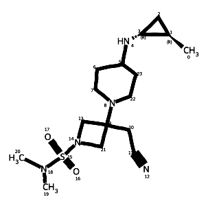 C[C@@H]1C[C@H]1NC1CCN(C2(CC#N)CN(S(=O)(=O)N(C)C)C2)CC1